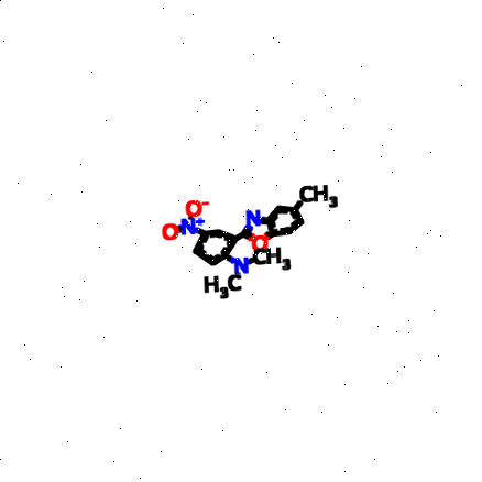 Cc1ccc2oc(-c3cc([N+](=O)[O-])ccc3N(C)C)nc2c1